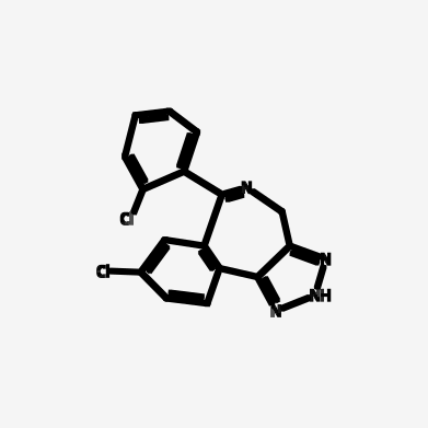 Clc1ccc2c(c1)C(c1ccccc1Cl)=NCc1n[nH]nc1-2